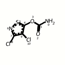 NC(=O)Oc1snc(Cl)c1Cl